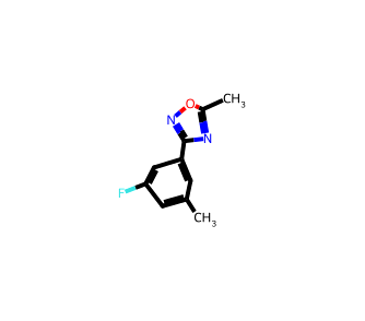 Cc1cc(F)cc(-c2noc(C)n2)c1